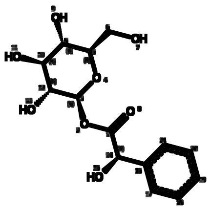 O=C(O[C@@H]1O[C@H](CO)[C@@H](O)[C@H](O)[C@H]1O)[C@H](O)c1ccccc1